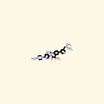 C=C(C(=O)Nc1ccc(N2CCN(C)CC2)nc1)c1cc(-c2cncc(CN(C)C)c2)ccc1NC